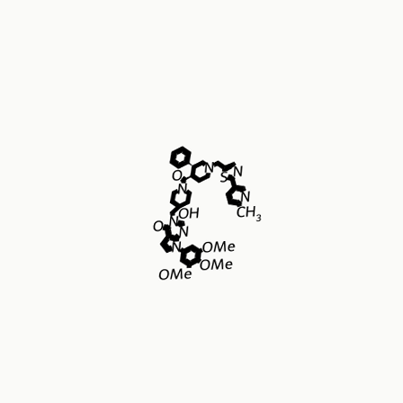 COc1cc(-n2ccc3c(=O)n(CC4(O)CCN(C(=O)[C@@H]5CCN(Cc6cnc(-c7ccc(C)nc7)s6)C[C@H]5c5ccccc5)CC4)cnc32)cc(OC)c1OC